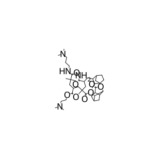 CC1C2CCC(C2)C1CC(CC(C)(CC(CC(C)(C)C(=O)NCCCN(C)C)C(=O)OCCN(C)C)C(=O)OC1C2CC3C(=O)OC1C3C2)C(N)=O